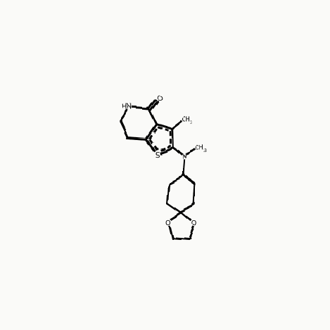 Cc1c(N(C)C2CCC3(CC2)OCCO3)sc2c1C(=O)NCC2